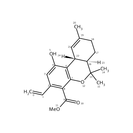 C=Cc1cc(O)c2c(c1C(=O)OC)OC(C)(C)[C@@H]1CCC(C)=C[C@@H]21